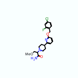 COCC(C(N)=O)N1CCC(c2cccc(OCc3ccc(Cl)cc3F)n2)CC1